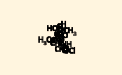 CN[C@@H]1C(=O)OB([C@H](CC(C)C)NC(=O)CNc2cc(Cl)ccc2Cl)O[C@H]1C(=O)O